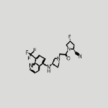 N#C[C@@H]1C[C@H](F)CN1C(=O)CN1CC[C@@H](Nc2ccc(C(F)(F)F)c3ncccc23)C1